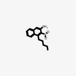 CCCCCc1c([N+](=O)[O-])c(N)cc2ccccc12